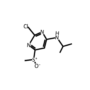 CC(C)Nc1cc([S+](C)[O-])nc(Cl)n1